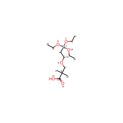 CCO[Si](CCOCC(C)(C)C(=O)O)(OCC)OCC